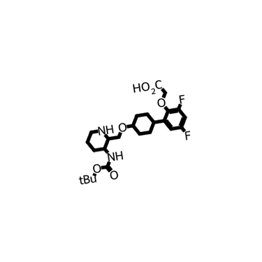 CC(C)(C)OC(=O)NC1CCCNC1COC1CCC(c2cc(F)cc(F)c2OCC(=O)O)CC1